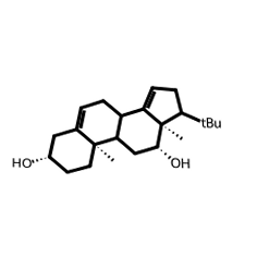 CC(C)(C)C1CC=C2C3CC=C4C[C@@H](O)CC[C@]4(C)C3C[C@@H](O)[C@@]21C